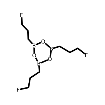 FCCCB1OB(CCCF)OB(CCCF)O1